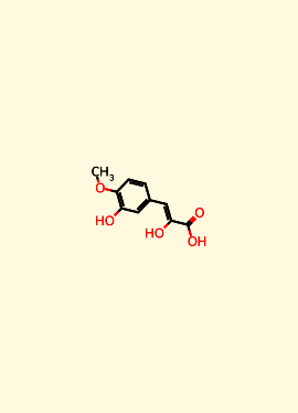 COc1ccc(/C=C(\O)C(=O)O)cc1O